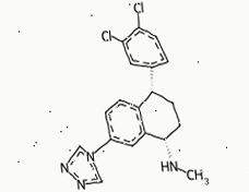 CN[C@H]1CC[C@@H](c2ccc(Cl)c(Cl)c2)c2ccc(-n3cnnc3)cc21